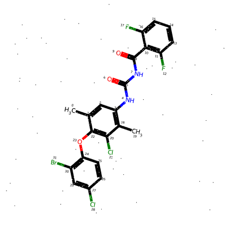 Cc1cc(NC(=O)NC(=O)c2c(F)cccc2F)c(C)c(Cl)c1Oc1ccc(Cl)cc1Br